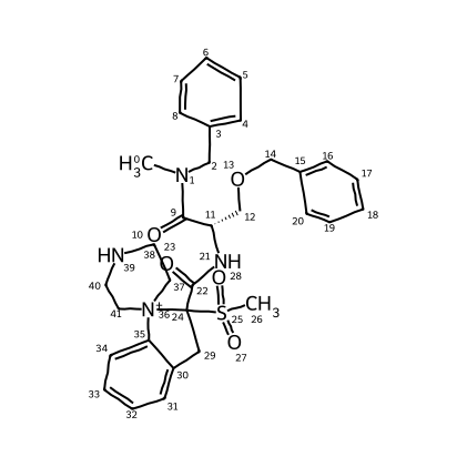 CN(Cc1ccccc1)C(=O)[C@H](COCc1ccccc1)NC(=O)C1(S(C)(=O)=O)Cc2ccccc2[N+]12CCNCC2